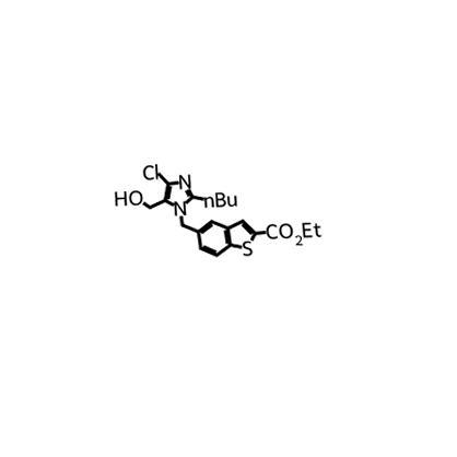 CCCCc1nc(Cl)c(CO)n1Cc1ccc2sc(C(=O)OCC)cc2c1